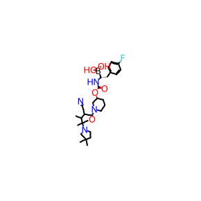 CC(C(C#N)C(=O)N1CCC[C@H](OC(=O)N[C@@H](Cc2ccc(F)cc2)B(O)O)C1)C(C)(C)N1CCC(C)(C)C1